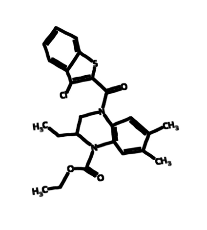 CCOC(=O)N1c2cc(C)c(C)cc2N(C(=O)c2sc3ccccc3c2Cl)CC1CC